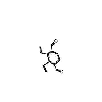 C=Cc1c(C=O)ccc(C=O)c1C=C